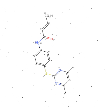 Cc1cc(C)nc(Sc2ccc(NC(=O)C=CC(=O)O)cc2)n1